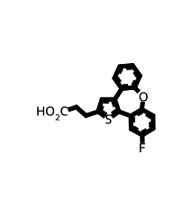 O=C(O)CCc1cc2c(s1)-c1cc(F)ccc1Oc1ccccc1-2